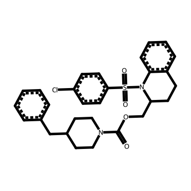 O=C(OCC1CCc2ccccc2N1S(=O)(=O)c1ccc(Cl)cc1)N1CCC(Cc2ccccc2)CC1